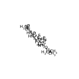 C[Si](C)(C)CCOCn1cc(C(F)(F)F)c2c(Oc3c(F)cc(NC(=O)NCCCS(C)(=O)=O)cc3F)ccnc21